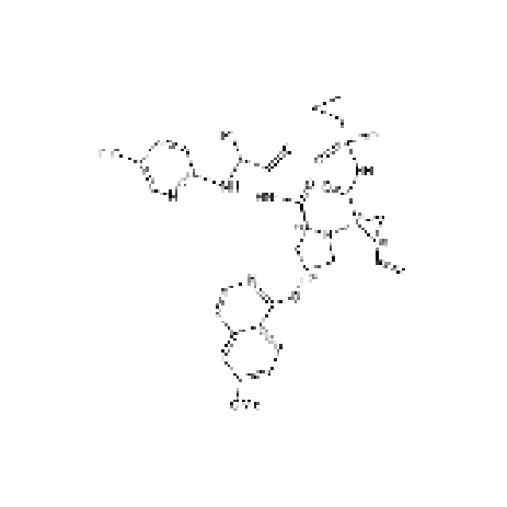 C=C[C@@H]1C[C@@]1(C(=O)NS(=O)(=O)C1CC1)N1C[C@H](Oc2nccc3cc(OC)ccc23)C[C@H]1C(=O)NC(=O)C(Nc1ccc(C(F)(F)F)cn1)C(C)C